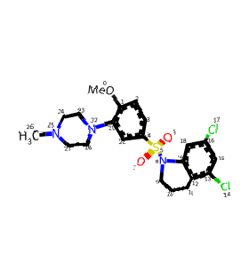 COc1ccc(S(=O)(=O)N2CCCc3c(Cl)cc(Cl)cc32)cc1N1CCN(C)CC1